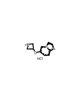 Cl.c1cn2cc(OC3CNC3)ccc2n1